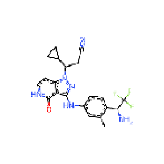 Cc1cc(Nc2nn(C(CC#N)C3CC3)c3cc[nH]c(=O)c23)ccc1[C@H](N)C(F)(F)F